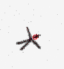 CCCCCCCCCCCCCCCC[P+](CCCCCCCCCCCCCCCC)(CCCCCCCCCCCCCCCC)CCCCCCCCCCCCCCCC.[H+].[H+].[O-]P([O-])[O-]